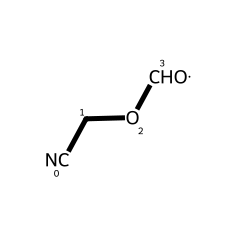 N#CCO[C]=O